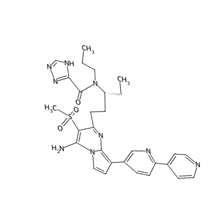 CCCN(C(=O)c1nnc[nH]1)[C@H](CC)CCc1nc2c(-c3ccc(-c4ccncc4)nc3)ccn2c(N)c1S(C)(=O)=O